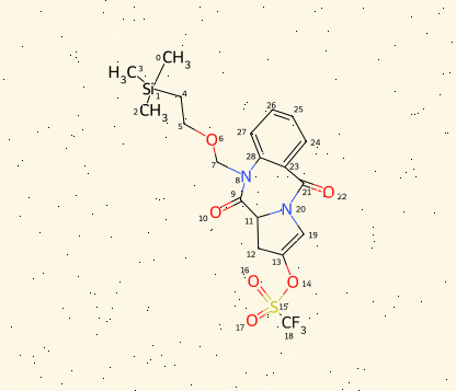 C[Si](C)(C)CCOCN1C(=O)C2CC(OS(=O)(=O)C(F)(F)F)=CN2C(=O)c2ccccc21